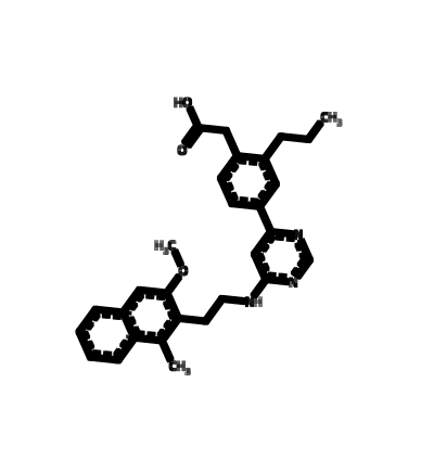 CCCc1cc(-c2cc(NCCc3c(OC)cc4ccccc4c3C)ncn2)ccc1CC(=O)O